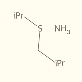 CC(C)CSC(C)C.N